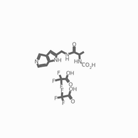 CC(NC(=O)O)C(=O)NCc1cc2cnccc2[nH]1.O=C(O)C(F)(F)F.O=C(O)C(F)(F)F